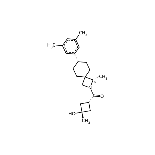 Cc1cc(C)cc([C@H]2CC[C@]3(CC2)CN(C(=O)[C@H]2C[C@@](C)(O)C2)[C@H]3C)c1